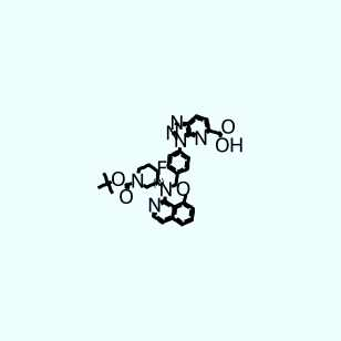 Cc1cccc2ccnc(N(C(=O)c3ccc(-n4nnc5ccc(C(=O)O)nc54)cc3F)[C@@H]3CCCN(C(=O)OC(C)(C)C)C3)c12